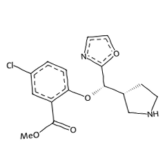 COC(=O)c1cc(Cl)ccc1O[C@H](c1ncco1)[C@@H]1CCNC1